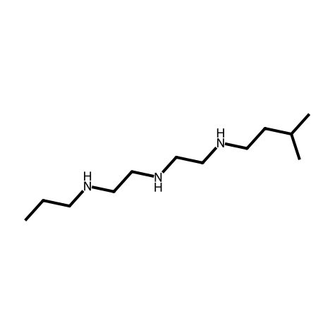 CCCNCCNCCNCCC(C)C